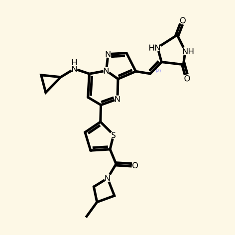 CC1CN(C(=O)c2ccc(-c3cc(NC4CC4)n4ncc(/C=C5\NC(=O)NC5=O)c4n3)s2)C1